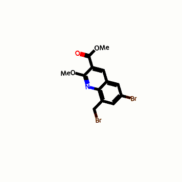 COC(=O)c1cc2cc(Br)cc(CBr)c2nc1OC